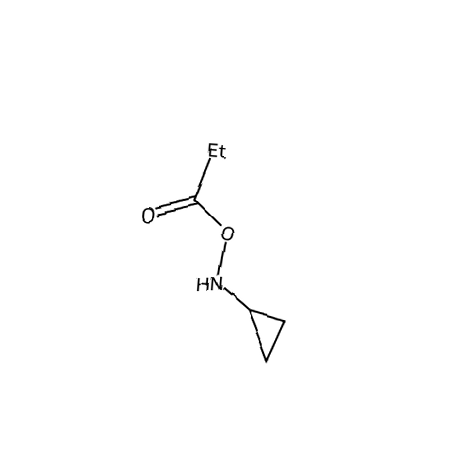 CCC(=O)ONC1CC1